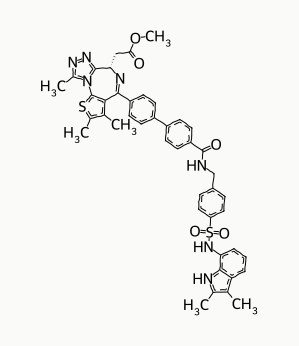 COC(=O)C[C@@H]1N=C(c2ccc(-c3ccc(C(=O)NCc4ccc(S(=O)(=O)Nc5cccc6c(C)c(C)[nH]c56)cc4)cc3)cc2)c2c(sc(C)c2C)-n2c(C)nnc21